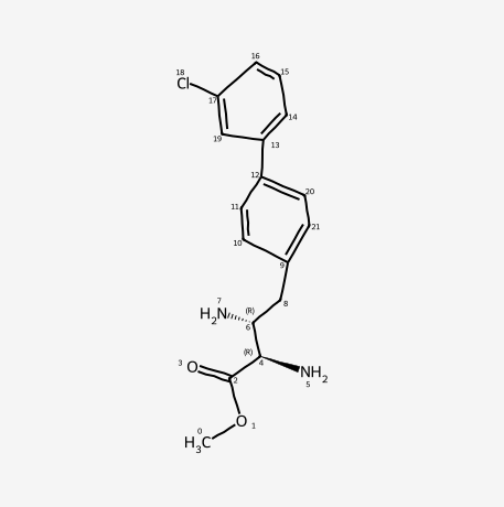 COC(=O)[C@H](N)[C@H](N)Cc1ccc(-c2cccc(Cl)c2)cc1